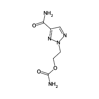 NC(=O)OCCn1ncc(C(N)=O)n1